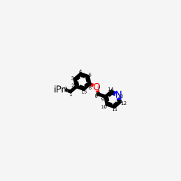 CC(C)Cc1cccc(OCc2cccnc2)c1